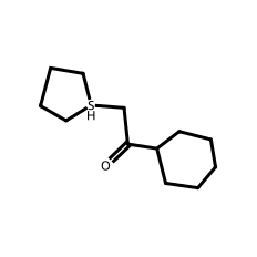 O=C(C[SH]1CCCC1)C1CCCCC1